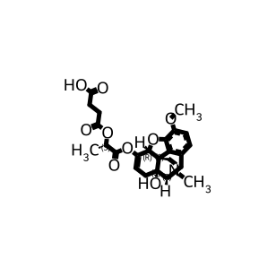 COc1ccc2c3c1O[C@H]1C(OC(=O)[C@H](C)OC(=O)CCC(=O)O)=CC[C@@]4(O)[C@@H](C2)N(C)CC[C@]314